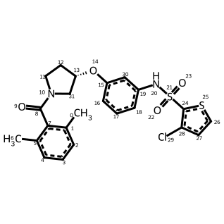 Cc1cccc(C)c1C(=O)N1CC[C@H](Oc2cccc(NS(=O)(=O)c3sccc3Cl)c2)C1